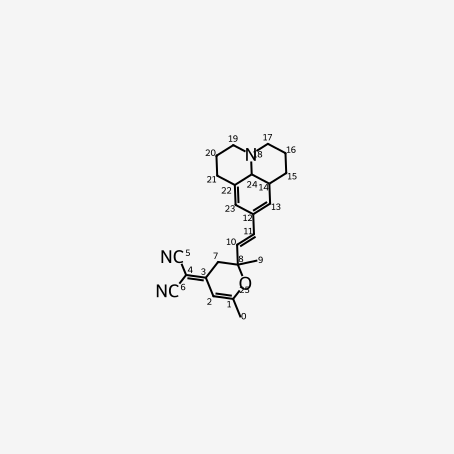 CC1=CC(=C(C#N)C#N)CC(C)(/C=C/C2=CC3CCCN4CCCC(=C2)C34)O1